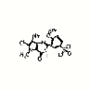 CCCOc1ccc(S(=O)(=O)Cl)cc1-c1nc2c(CCC)c(Cl)n(C)c2c(=O)[nH]1